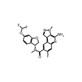 CN(C(=O)c1cc2c(cc1F)nc(N)c1c2cnn1C)[C@@H]1COc2cc(OC(F)F)ccc21